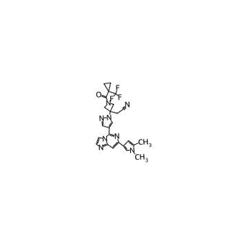 Cc1cc(-c2cc3nccn3c(-c3cnn(C4(CC#N)CN(C(=O)C5(C(F)(F)F)CC5)C4)c3)n2)cn1C